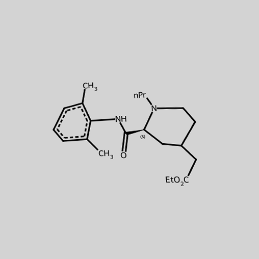 CCCN1CCC(CC(=O)OCC)C[C@H]1C(=O)Nc1c(C)cccc1C